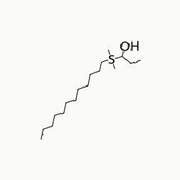 CCCCCCCCCCCCS(C)(C)C(O)CC